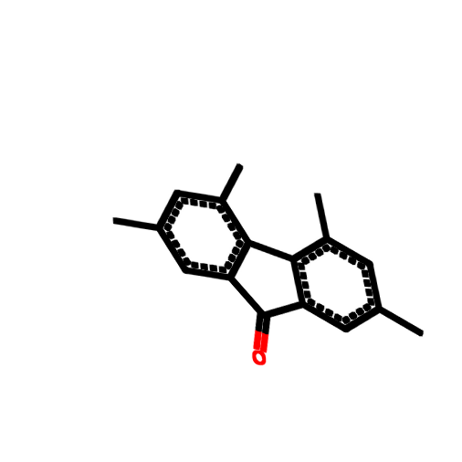 Cc1cc(C)c2c(c1)C(=O)c1cc(C)cc(C)c1-2